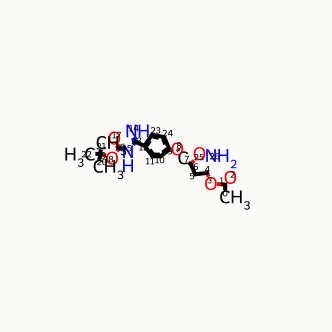 CC(=O)OCCC(COc1ccc(C(=N)NC(=O)OC(C)(C)C)cc1)ON